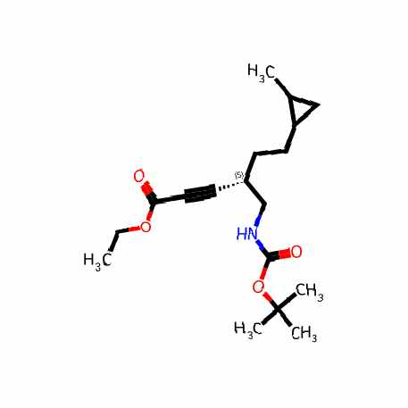 CCOC(=O)C#C[C@H](CCC1CC1C)CNC(=O)OC(C)(C)C